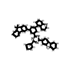 CC1(C)c2ccccc2-c2cc(-c3cc(-c4nc(-c5ccccc5)nc(-c5ccc6c(c5)oc5ccccc56)n4)cc(-c4cccc5ncccc45)c3)ccc21